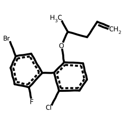 C=CCC(C)Oc1cccc(Cl)c1-c1cc(Br)ccc1F